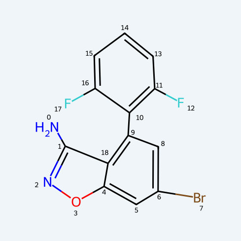 Nc1noc2cc(Br)cc(-c3c(F)cccc3F)c12